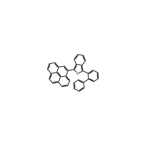 c1ccc(-c2ccccc2-c2oc(-c3cc4cccc5ccc6cccc3c6c54)c3ccccc23)cc1